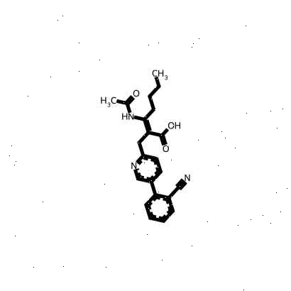 CCCCC(NC(C)=O)=C(Cc1ccc(-c2ccccc2C#N)cn1)C(=O)O